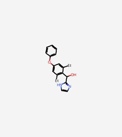 CCc1cc(Oc2ccccc2)cc(CC)c1C(O)c1ncc[nH]1